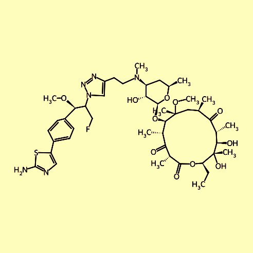 CC[C@H]1OC(=O)[C@H](C)C(=O)[C@H](C)[C@@H](O[C@@H]2O[C@H](C)C[C@H](N(C)CCc3cn(C(CF)[C@H](OC)c4ccc(-c5cnc(N)s5)cc4)nn3)[C@H]2O)[C@](C)(OC)C[C@@H](C)C(=O)[C@H](C)[C@@H](O)[C@]1(C)O